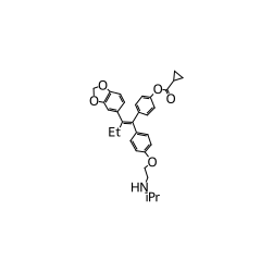 CCC(=C(c1ccc(OCCNC(C)C)cc1)c1ccc(OC(=O)C2CC2)cc1)c1ccc2c(c1)OCO2